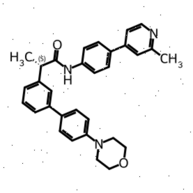 Cc1cc(-c2ccc(NC(=O)[C@@H](C)c3cccc(-c4ccc(N5CCOCC5)cc4)c3)cc2)ccn1